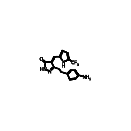 Nc1ccc(CCC2=NNC(=O)C2=Cc2ccc(C(F)(F)F)[nH]2)cc1